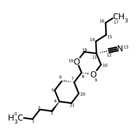 CCCC[C@H]1CC[C@H]([C@H]2OC[C@](C#N)(CCCC)CO2)CC1